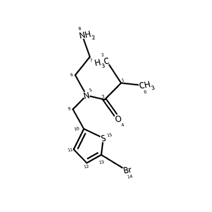 CC(C)C(=O)N(CCN)Cc1ccc(Br)s1